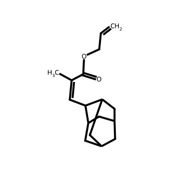 C=CCOC(=O)C(C)=CC1C2CC3CC(C2)CC1C3